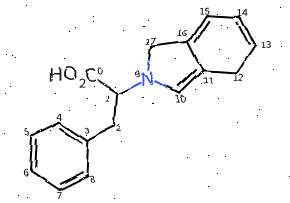 O=C(O)C(Cc1ccccc1)N1C=C2CC=CC=C2C1